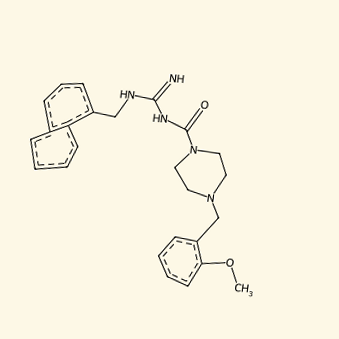 COc1ccccc1CN1CCN(C(=O)NC(=N)NCc2cccc3ccccc23)CC1